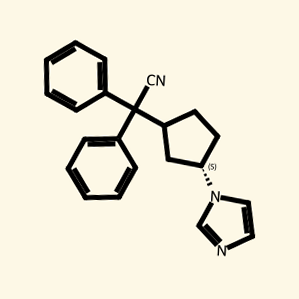 N#CC(c1ccccc1)(c1ccccc1)C1CC[C@H](n2ccnc2)C1